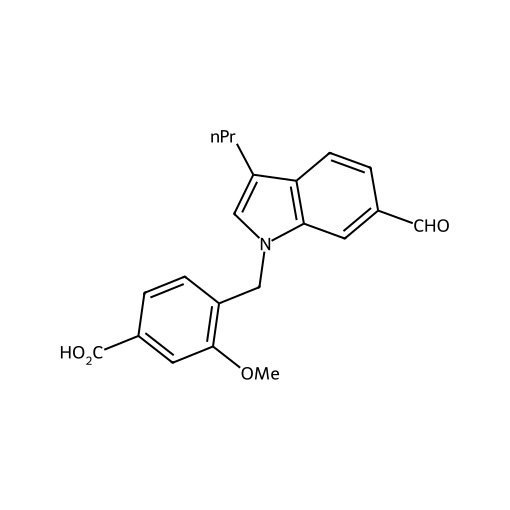 CCCc1cn(Cc2ccc(C(=O)O)cc2OC)c2cc(C=O)ccc12